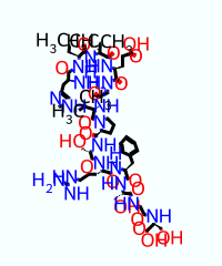 CC(C)C[C@H](NC(=O)[C@@H](N)Cc1c[nH]cn1)C(=O)N[C@H](C(=O)N[C@@H](CCC(=O)O)C(=O)NCC(=O)N[C@H](C(=O)N1CCC[C@H]1C(=O)N[C@@H](CO)C(=O)N[C@@H](CCCNC(=N)N)C(=O)N[C@@H](Cc1ccccc1)C(=O)N[C@@H](CO)C(=O)NCC(=O)N[C@@H](CO)C(=O)O)C(C)C)C(C)C